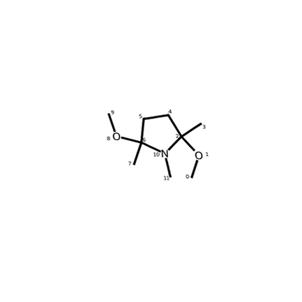 COC1(C)CCC(C)(OC)N1C